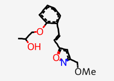 COCc1cc(/C=C/c2ccccc2OCC(C)O)on1